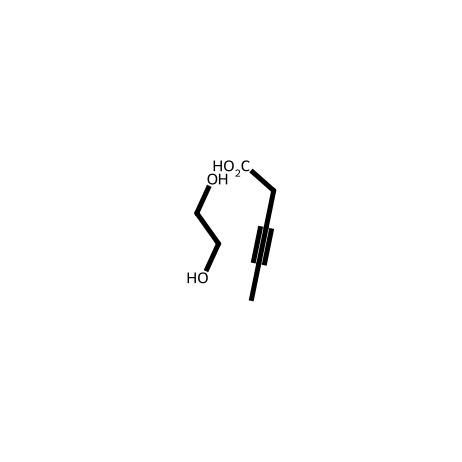 CC#CCC(=O)O.OCCO